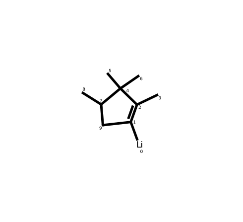 [Li][C]1=C(C)C(C)(C)C(C)C1